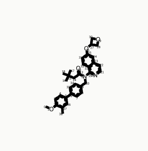 COc1ccc(-c2ccc(CN(C(=O)CC(C)(C)C)c3nccc4cc(OC5COC5)ccc34)cc2)cc1C